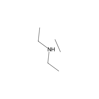 CC.CCNCC